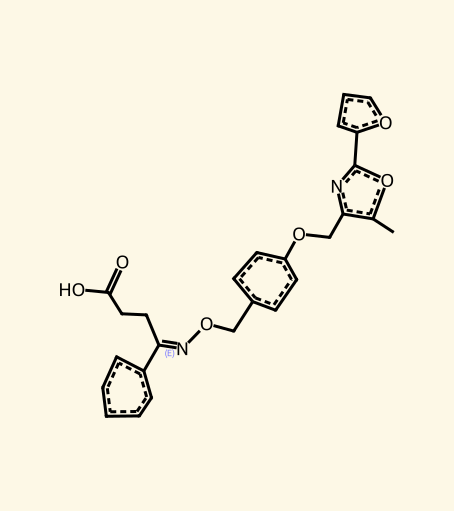 Cc1oc(-c2ccco2)nc1COc1ccc(CO/N=C(\CCC(=O)O)c2ccccc2)cc1